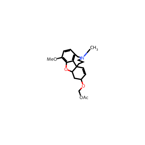 COc1ccc2c3c1OC1CC(OCOC(C)=O)C=CC31CCCN(C)C2